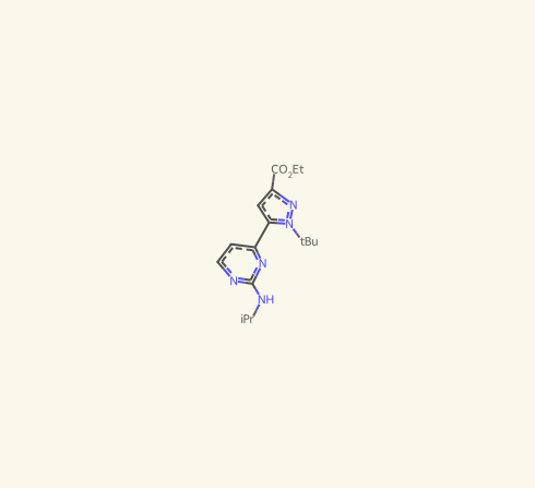 CCOC(=O)c1cc(-c2ccnc(NC(C)C)n2)n(C(C)(C)C)n1